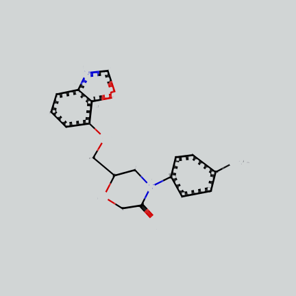 COc1ccc(N2CC(COc3cccc4ncoc34)OCC2=O)cc1